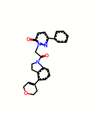 O=C(Cn1nc(-c2ccccc2)ccc1=O)N1CCc2c(C3=CCOCC3)cccc21